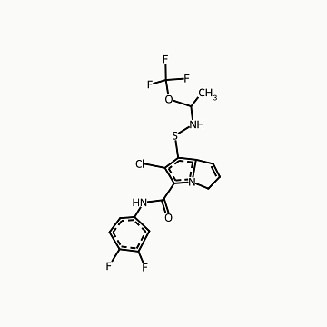 CC(NSc1c(Cl)c(C(=O)Nc2ccc(F)c(F)c2)n2c1C=CC2)OC(F)(F)F